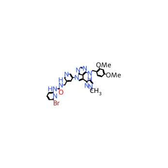 COc1ccc(CNc2ncnc3c2c(-c2ccn(C)n2)cn3-c2cncc(CNC(=O)Nc3cccc(Br)n3)c2)c(OC)c1